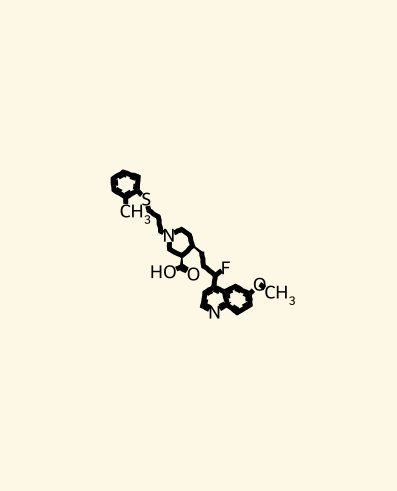 COc1ccc2nccc(C(F)CC[C@@H]3CCN(CCCSc4ccccc4C)C[C@@H]3C(=O)O)c2c1